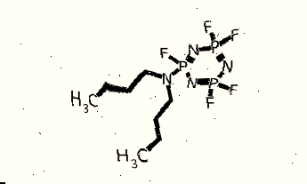 CCCCN(CCCC)P1(F)=NP(F)(F)=NP(F)(F)=N1